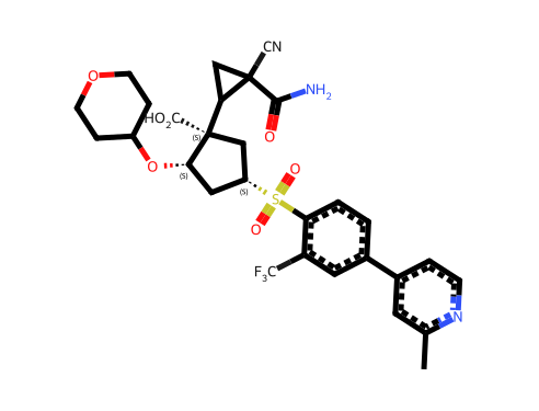 Cc1cc(-c2ccc(S(=O)(=O)[C@@H]3C[C@H](OC4CCOCC4)[C@@](C(=O)O)(C4CC4(C#N)C(N)=O)C3)c(C(F)(F)F)c2)ccn1